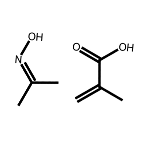 C=C(C)C(=O)O.CC(C)=NO